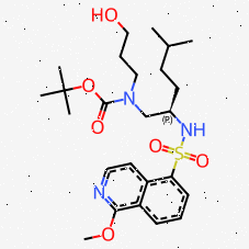 COc1nccc2c(S(=O)(=O)N[C@H](CCC(C)C)CN(CCCO)C(=O)OC(C)(C)C)cccc12